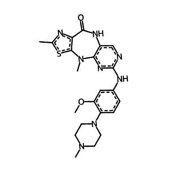 COc1cc(Nc2ncc3c(n2)N(C)c2sc(C)nc2C(=O)N3)ccc1N1CCN(C)CC1